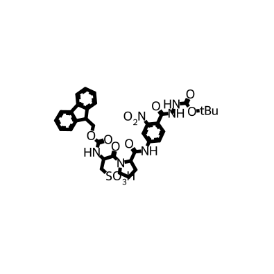 CC(C)(C)OC(=O)NNC(=O)c1ccc(NC(=O)C2CCCN2C(=O)C(CS(=O)(=O)O)NC(=O)OCC2c3ccccc3-c3ccccc32)cc1[N+](=O)[O-]